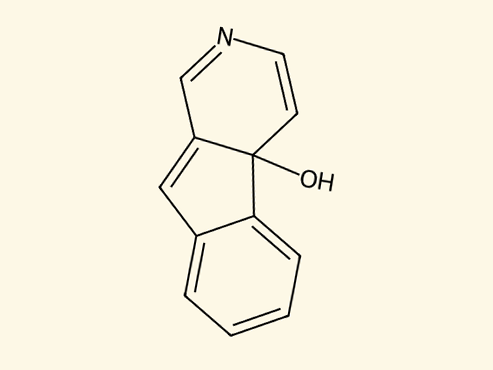 OC12C=CN=CC1=Cc1ccccc12